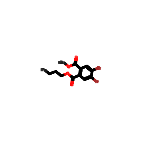 CCCCOC(=O)c1cc(Br)c(Br)cc1C(=O)OCCCC(C)C